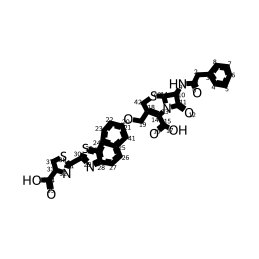 O=C(Cc1ccccc1)NC1C(=O)N2C(C(=O)O)=C(COc3ccc4c(ccc5nc(C6=NC(C(=O)O)CS6)sc54)c3)CSC12